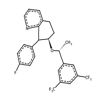 C[C@@H](O[C@@H]1CCc2cccnc2C1c1ccc(F)cc1)c1cc(C(F)(F)F)cc(C(F)(F)F)c1